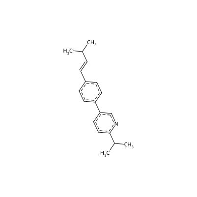 CC(C)/C=C/c1ccc(-c2ccc(C(C)C)nc2)cc1